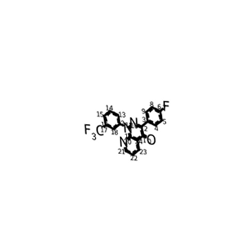 O=c1c(-c2ccc(F)cc2)nn(-c2cccc(C(F)(F)F)c2)c2ncccc12